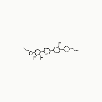 C=CCOc1ccc(-c2ccc(-c3ccc(C4=CCC(CCC)CC4)c(F)c3)cc2)c(F)c1F